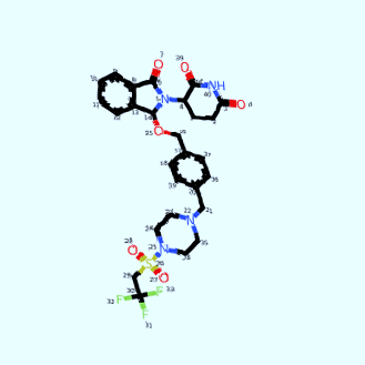 O=C1CCC(N2C(=O)c3ccccc3C2OCc2ccc(CN3CCN(S(=O)(=O)CC(F)(F)F)CC3)cc2)C(=O)N1